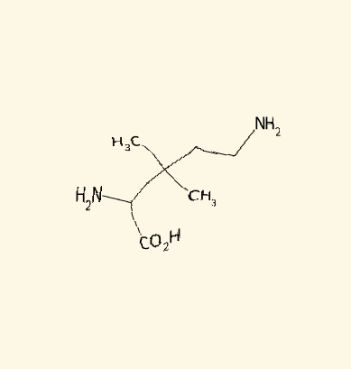 CC(C)(CCN)C(N)C(=O)O